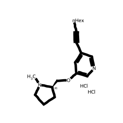 CCCCCCC#Cc1cncc(OC[C@H]2CCCN2C)c1.Cl.Cl